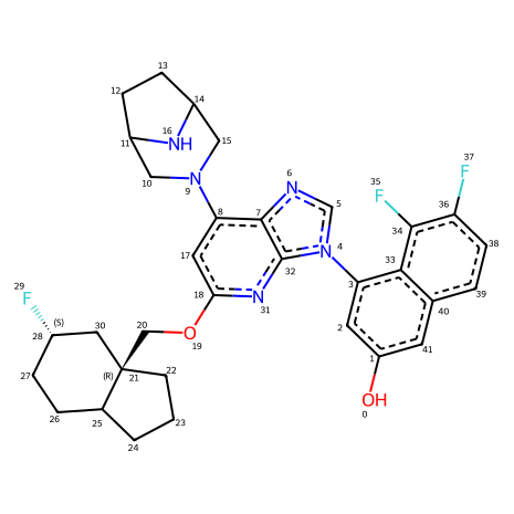 Oc1cc(-n2cnc3c(N4CC5CCC(C4)N5)cc(OC[C@@]45CCCC4CC[C@H](F)C5)nc32)c2c(F)c(F)ccc2c1